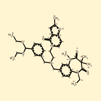 CCOC(OCC)c1cccc(CN(CCn2ccc3oc(C)cc3c2=O)Cc2ccc3c(c2)N(C)C(=O)C(C)(C)C(=O)N3CC)c1